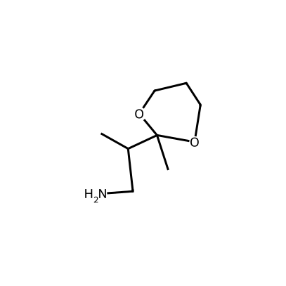 CC(CN)C1(C)OCCCO1